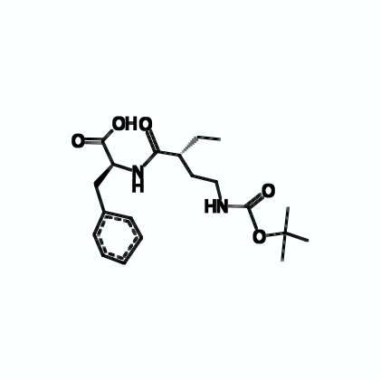 CC[C@H](CCNC(=O)OC(C)(C)C)C(=O)N[C@@H](Cc1ccccc1)C(=O)O